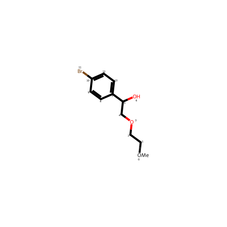 COCCOCC(O)c1ccc(Br)cc1